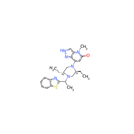 CC[C@H]1CN(C(C)c2nc3ccccc3s2)[C@H](CC)CN1c1cc(=O)n(C)c2c[nH]nc12